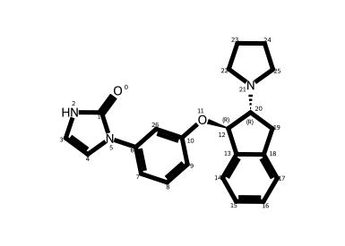 O=c1[nH]ccn1-c1cccc(O[C@@H]2c3ccccc3C[C@H]2N2CCCC2)c1